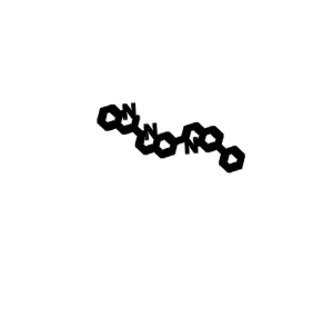 c1ccc(-c2ccc3ccc(-c4ccc5ccc(-c6cnc7ccccc7c6)nc5c4)nc3c2)cc1